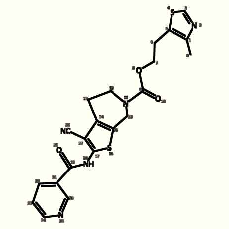 Cc1ncsc1CCOC(=O)N1CCc2c(sc(NC(=O)c3cccnc3)c2C#N)C1